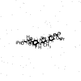 Cc1c(Nc2ccc(S(=O)(=O)NCCOC(C)C)cc2F)ncnc1OC1CCN(OC(=O)OC(C)C)CC1